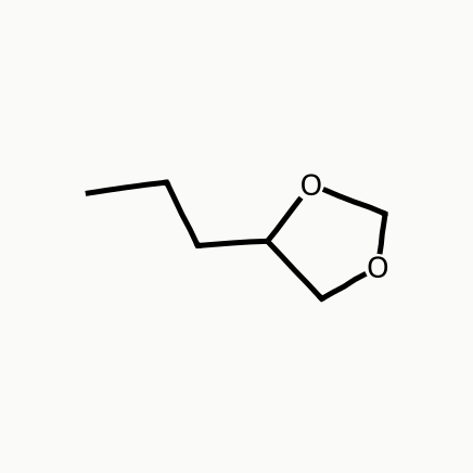 CCCC1COCO1